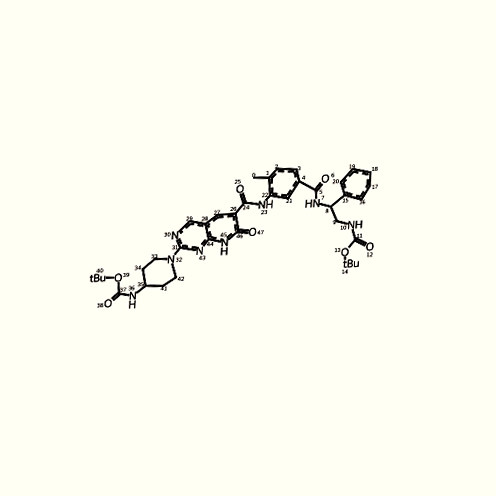 Cc1ccc(C(=O)NC(CNC(=O)OC(C)(C)C)c2ccccc2)cc1NC(=O)c1cc2cnc(N3CCC(NC(=O)OC(C)(C)C)CC3)nc2[nH]c1=O